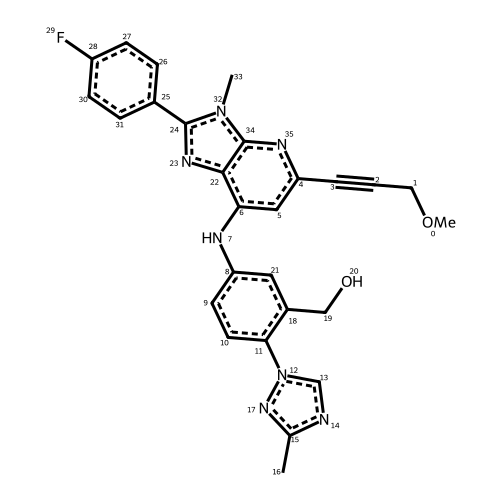 COCC#Cc1cc(Nc2ccc(-n3cnc(C)n3)c(CO)c2)c2nc(-c3ccc(F)cc3)n(C)c2n1